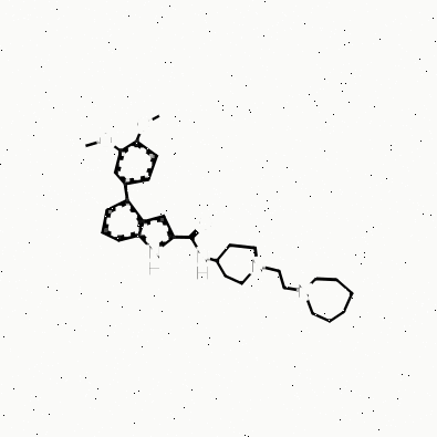 COc1ccc(-c2cccc3[nH]c(C(=O)NC4CCN(CCN5CCCCCC5)CC4)cc23)cc1OC